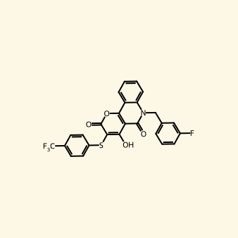 O=c1oc2c(c(O)c1Sc1ccc(C(F)(F)F)cc1)c(=O)n(Cc1cccc(F)c1)c1ccccc21